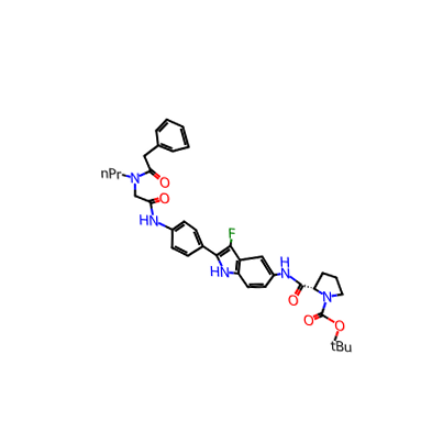 CCCN(CC(=O)Nc1ccc(-c2[nH]c3ccc(NC(=O)[C@@H]4CCCN4C(=O)OC(C)(C)C)cc3c2F)cc1)C(=O)Cc1ccccc1